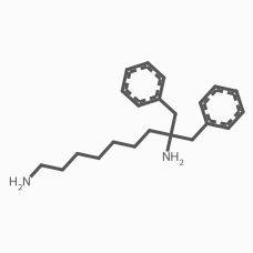 NCCCCCCCC(N)(Cc1ccccc1)Cc1ccccc1